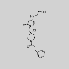 O=C(CCc1ccccc1)N1CCC(O)(Cn2cnc(NCCO)cc2=O)CC1